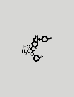 CC(O)(c1ccc2c(cnn2-c2ccc(F)cc2)c1)C(F)Oc1cccc(F)c1